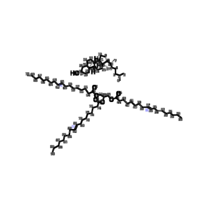 CC(C)CCC[C@@H](C)[C@H]1CC[C@H]2[C@@H]3CC=C4C[C@@H](O)CC[C@]4(C)[C@H]3CC[C@]12C.CCCCCCCC/C=C/CCCCCCCC(=O)OCC(COC(=O)CCCCCCC/C=C/CCCCCCCC)OC(=O)CCCCCCC/C=C/CCCCCCCC